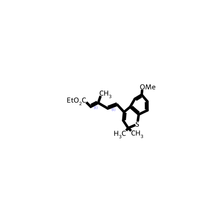 CCOC(=O)/C=C(C)/C=C/C1=CC(C)(C)Sc2ccc(OC)cc21